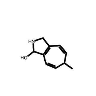 CC1C=CC2=C(C=C1)C(O)NC2